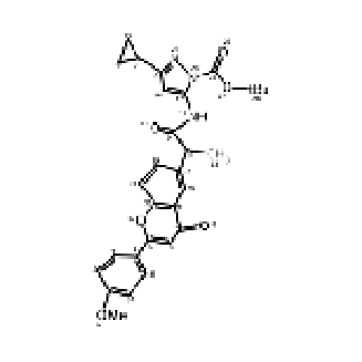 COc1ccc(-c2cc(=O)c3cc(C(C)C(=O)Nc4cc(C5CC5)nn4C(=O)OC(C)(C)C)ccc3o2)cc1